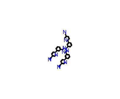 N#Cc1ccc(-c2cccc(-c3nc(-c4cccc(-c5ccc(C#N)cn5)c4)nc(-c4cccc(-c5ccc(C#N)cn5)c4)n3)c2)nc1